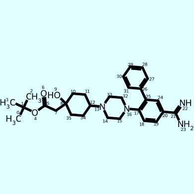 CC(C)(C)OC(=O)CC1(O)CCC(N2CCN(c3ccc(C(=N)N)cc3-c3ccccc3)CC2)CC1